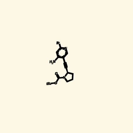 CC(C)(C)OC(=O)N1CCC[C@@H]1C#Cc1cnc(Br)cc1N